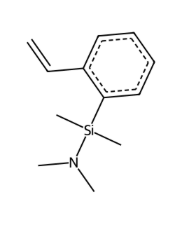 C=Cc1ccccc1[Si](C)(C)N(C)C